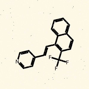 FC(F)(F)c1ccc2ccccc2c1C=Cc1ccncc1